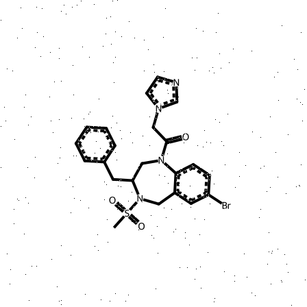 CS(=O)(=O)N1Cc2cc(Br)ccc2N(C(=O)Cn2ccnc2)CC1Cc1ccccc1